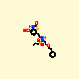 CCCS(=O)(=O)N(CCOCCc1ccccc1)NCCc1ccc(O)c2[nH]c(=O)sc12